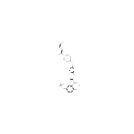 COC(C(=O)Nc1nnc(NC2CCN(/C(N)=C/C=C\N)CC2)s1)c1cc(OC(F)(F)F)ccc1F